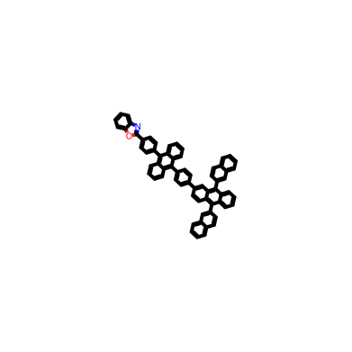 c1ccc2cc(-c3c4ccccc4c(-c4ccc5ccccc5c4)c4cc(-c5ccc(-c6c7ccccc7c(-c7ccc(-c8nc9ccccc9o8)cc7)c7ccccc67)cc5)ccc34)ccc2c1